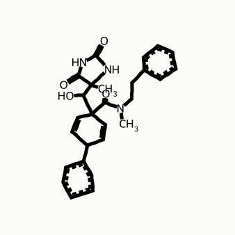 CN(CCc1ccccc1)C(=O)C1(C(O)C2(C)NC(=O)NC2=O)C=CC(c2ccccc2)C=C1